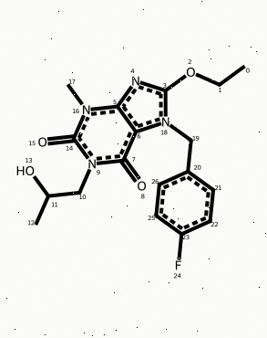 CCOc1nc2c(c(=O)n(CC(C)O)c(=O)n2C)n1Cc1ccc(F)cc1